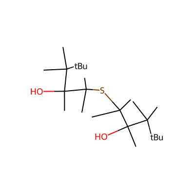 CC(C)(C)C(C)(C)C(C)(O)C(C)(C)SC(C)(C)C(C)(O)C(C)(C)C(C)(C)C